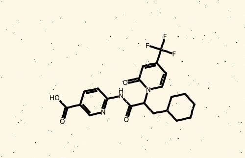 O=C(O)c1ccc(NC(=O)C(CC2CCCCC2)n2ccc(C(F)(F)F)cc2=O)nc1